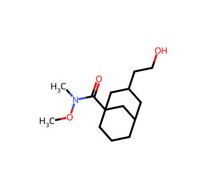 CON(C)C(=O)C12CCCC(CC(CCO)C1)C2